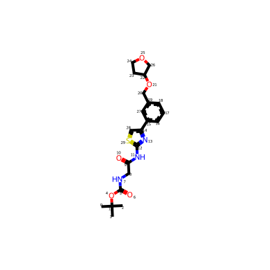 CC(C)(C)OC(=O)NCC(=O)Nc1nc(-c2cccc(COC3CCOC3)c2)cs1